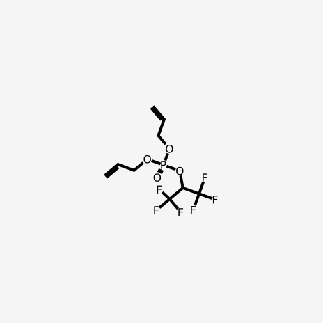 C=CCOP(=O)(OCC=C)OC(C(F)(F)F)C(F)(F)F